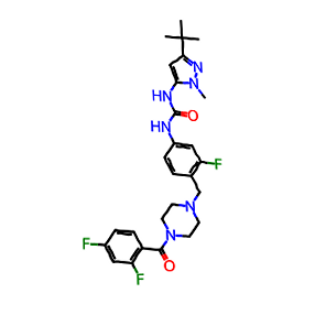 Cn1nc(C(C)(C)C)cc1NC(=O)Nc1ccc(CN2CCN(C(=O)c3ccc(F)cc3F)CC2)c(F)c1